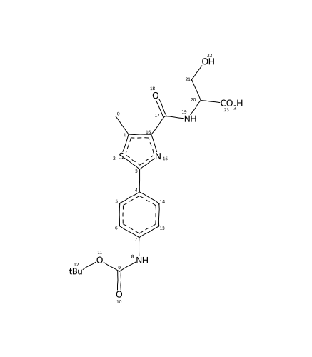 Cc1sc(-c2ccc(NC(=O)OC(C)(C)C)cc2)nc1C(=O)NC(CO)C(=O)O